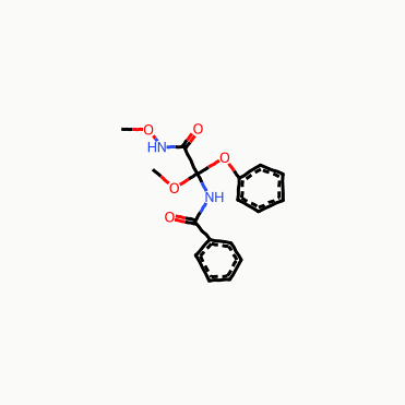 CONC(=O)C(NC(=O)c1ccccc1)(OC)Oc1ccccc1